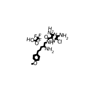 COc1ccc(CCCC(N)CNC(=O)c2nc(Cl)c(N)nc2N)cc1.O=C(O)C(F)(F)F